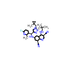 Cc1nc(F)ccc1C(Nc1cc(C#N)c2ncc(C#N)c(NCC(C)(C)C)c2c1)c1cn(CC2(C)CC2)nn1